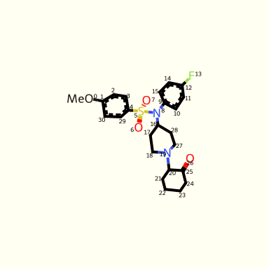 COc1ccc(S(=O)(=O)N(c2ccc(F)cc2)C2CCN(C3CCCCC3=O)CC2)cc1